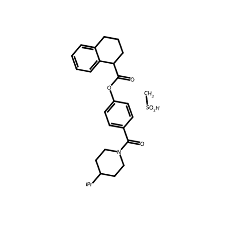 CC(C)C1CCN(C(=O)c2ccc(OC(=O)C3CCCc4ccccc43)cc2)CC1.CS(=O)(=O)O